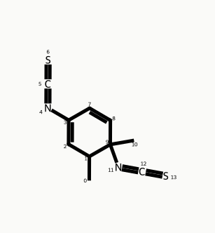 CC1C=C(N=C=S)C=CC1(C)N=C=S